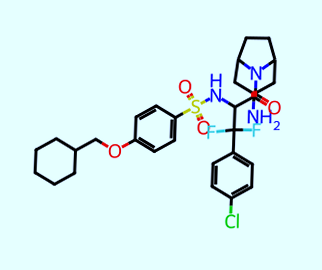 NC1CC2CCC(C1)N2C(=O)C(NS(=O)(=O)c1ccc(OCC2CCCCC2)cc1)C(F)(F)c1ccc(Cl)cc1